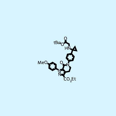 CCOC(=O)c1nn(-c2ccc(OC)cc2)c2c1CCN(c1ccc(C3(NCC(=O)OC(C)(C)C)CC3)cc1)C2=O